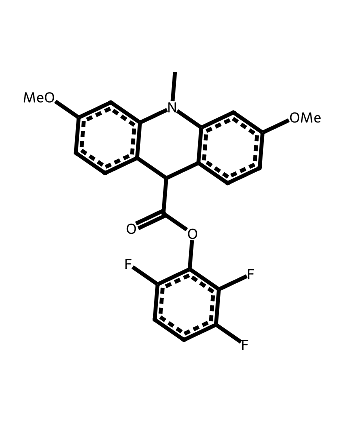 COc1ccc2c(c1)N(C)c1cc(OC)ccc1C2C(=O)Oc1c(F)ccc(F)c1F